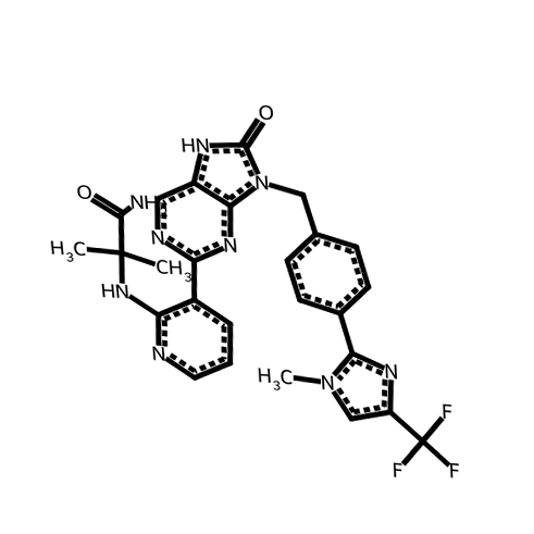 Cn1cc(C(F)(F)F)nc1-c1ccc(Cn2c(=O)[nH]c3cnc(-c4cccnc4NC(C)(C)C(N)=O)nc32)cc1